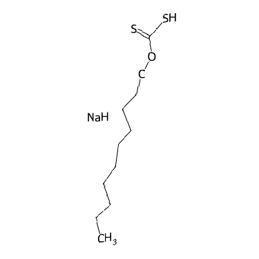 CCCCCCCCCCOC(=S)S.[NaH]